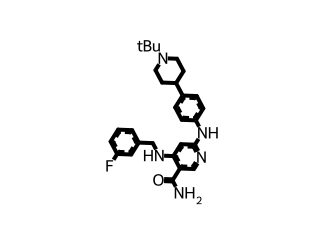 CC(C)(C)N1CCC(c2ccc(Nc3cc(NCc4cccc(F)c4)c(C(N)=O)cn3)cc2)CC1